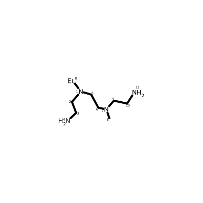 CCN(CCN)CCN(C)CCN